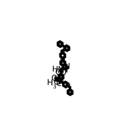 CN(c1ccc(S(=O)(=O)Nc2ncnc3cc(N4CCN(Cc5ccccc5-c5ccccc5)CC4)ccc23)cc1[N+](=O)[O-])C1CCN(Cc2ccccc2)CC1